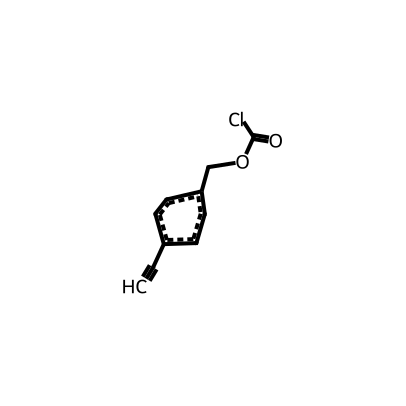 C#Cc1ccc(COC(=O)Cl)cc1